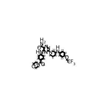 NC(=O)c1nnc(N2CCCC(Nc3ccc(OCC(F)(F)F)cc3)C2)nc1Nc1ccc(C(=O)N2CCOCC2)cc1